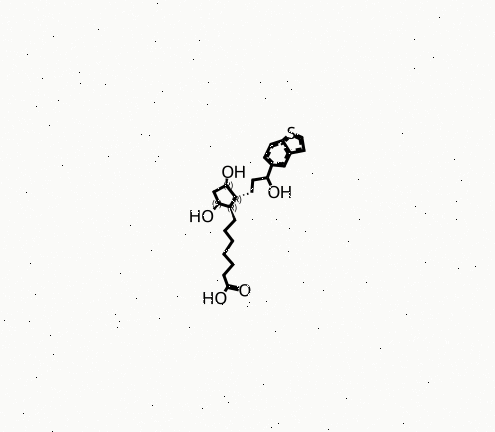 O=C(O)CCCCCC[C@@H]1[C@@H](CCC(O)c2ccc3sccc3c2)[C@H](O)C[C@@H]1O